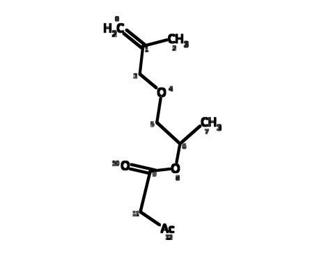 C=C(C)COCC(C)OC(=O)CC(C)=O